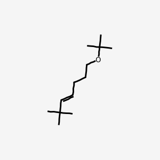 CC(C)(C)/C=C/CCCOC(C)(C)C